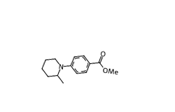 COC(=O)c1ccc(N2CCCCC2C)cc1